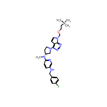 CN(c1ccc(NCc2ccc(F)cc2)cn1)[C@@H]1CCN(c2ncnc3c2ccn3COCC[Si](C)(C)C)C1